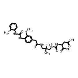 COc1cc(CC(=O)NCC(C)(C)CNC(=O)NC(CC(=O)O)C(=O)O)ccc1NC(=O)Nc1ccccc1C